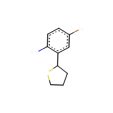 Nc1ccc(Br)cc1C1CCCS1